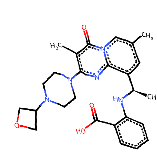 Cc1cc([C@@H](C)Nc2ccccc2C(=O)O)c2nc(N3CCN(C4COC4)CC3)c(C)c(=O)n2c1